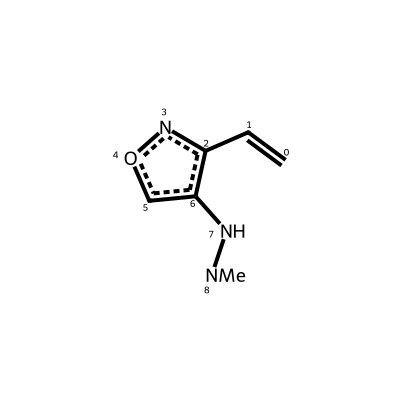 C=Cc1nocc1NNC